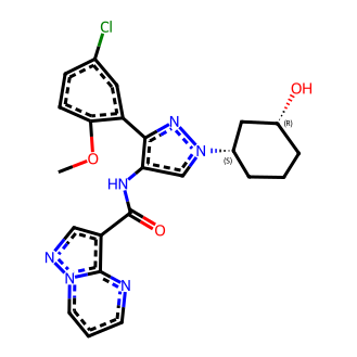 COc1ccc(Cl)cc1-c1nn([C@H]2CCC[C@@H](O)C2)cc1NC(=O)c1cnn2cccnc12